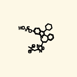 CS(=O)(=O)Cc1noc(C2=Cc3ccccc3-c3c(C4CCCCC4)c4ccc(OC(=O)O)cc4n3C2)n1